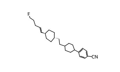 N#Cc1ccc(C2CCC(CC[C@H]3CC[C@H](/C=C/CCCF)CC3)CC2)cc1